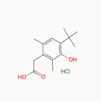 Cc1cc(C(C)(C)C)c(O)c(C)c1CC(=O)O.Cl